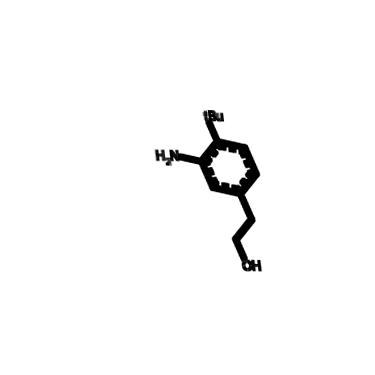 CC(C)(C)c1ccc(CCO)cc1N